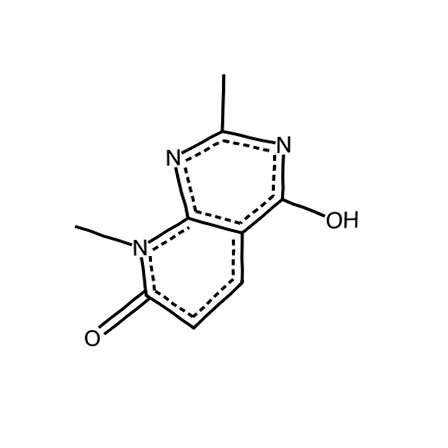 Cc1nc(O)c2ccc(=O)n(C)c2n1